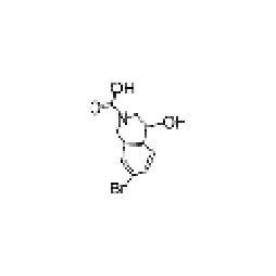 O=C(O)N1Cc2cc(Br)ccc2C(O)C1